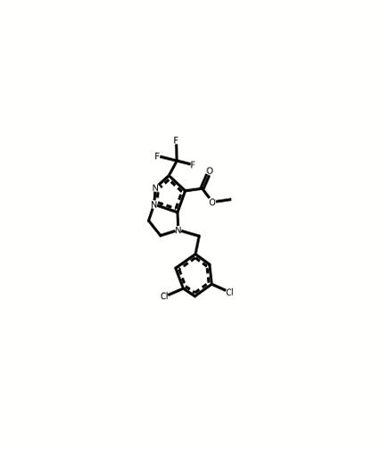 COC(=O)c1c(C(F)(F)F)nn2c1N(Cc1cc(Cl)cc(Cl)c1)CC2